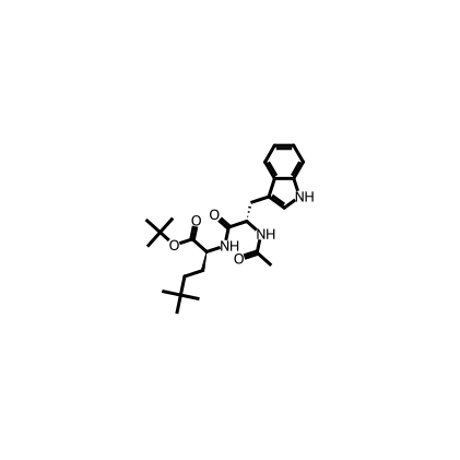 CC(=O)N[C@@H](Cc1c[nH]c2ccccc12)C(=O)N[C@@H](CCC(C)(C)C)C(=O)OC(C)(C)C